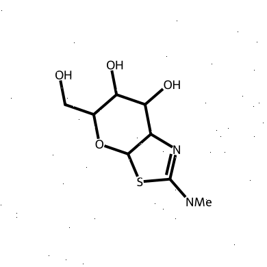 CNC1=NC2C(OC(CO)C(O)C2O)S1